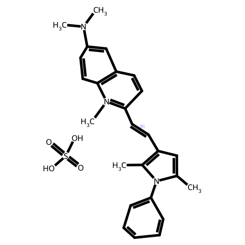 Cc1cc(/C=C/c2ccc3cc(N(C)C)ccc3[n+]2C)c(C)n1-c1ccccc1.O=S(=O)(O)O